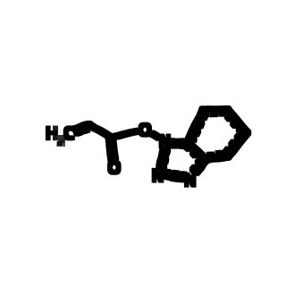 C=CC(=O)On1nnc2ccccc21